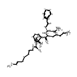 CCCCCCCCOC(=O)[C@@H]1C2CCC(CC2)N1C(=O)C(CCCCN)N[C@@H](CCc1ccccc1)C(N)=O